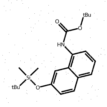 CC(C)(C)OC(=O)Nc1cccc2ccc(O[Si](C)(C)C(C)(C)C)cc12